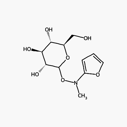 CN(OC1O[C@H](CO)[C@@H](O)[C@H](O)[C@H]1O)c1ccco1